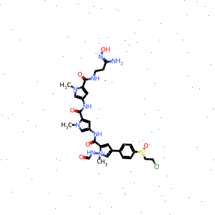 Cn1cc(NC(=O)c2cc(NC(=O)C3=CC(c4ccc([S+]([O-])CCCl)cc4)=C[N+]3(C)NC=O)cn2C)cc1C(=O)NCCC(N)=NO